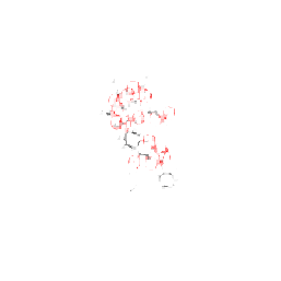 CCC=CCCOc1c(OC(=O)c2ccccc2)c(=O)oc2cc(O[C@@H]3O[C@H](COC(C)=O)[C@H](OC(C)=O)[C@H](OC(C)=O)[C@H]3OC(C)=O)ccc12